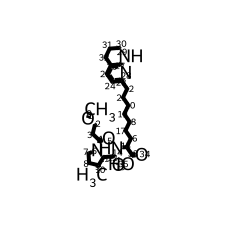 COCCC(=O)N1CCC(C)C1C(=O)NC(CCCCCCCc1ccc2c(n1)NCCC2)C(=O)O